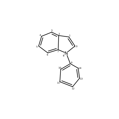 [c]1cc2ccccc2n1-c1ccccc1